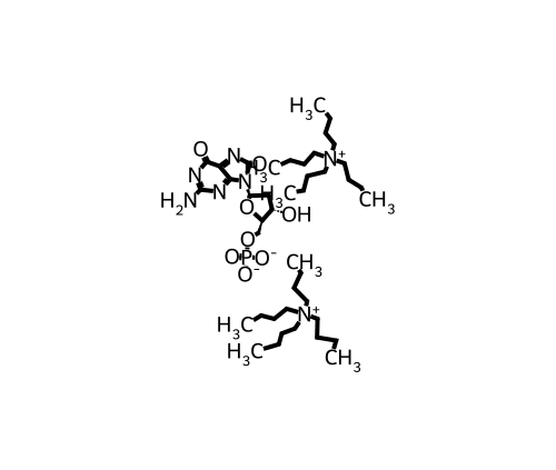 CCCC[N+](CCCC)(CCCC)CCCC.CCCC[N+](CCCC)(CCCC)CCCC.NC1=NC(=O)C2=NC(=O)N([C@H]3C[C@H](O)[C@@H](COP(=O)([O-])[O-])O3)C2=N1